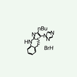 Br.CCCCc1nc(Nc2ccccc2F)sc1-n1cncn1